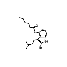 CCCCCC(=O)Oc1cccc2[nH]c(Br)c(CCN(C)C)c12